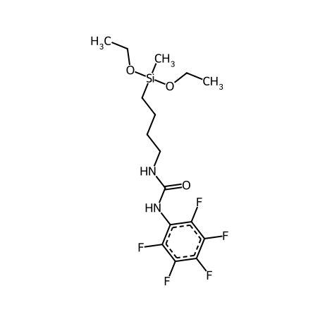 CCO[Si](C)(CCCCNC(=O)Nc1c(F)c(F)c(F)c(F)c1F)OCC